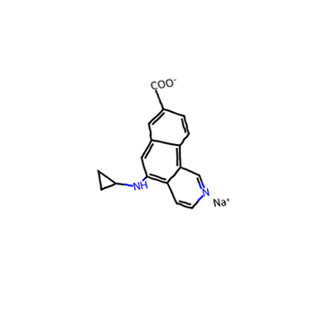 O=C([O-])c1ccc2c(c1)cc(NC1CC1)c1ccncc12.[Na+]